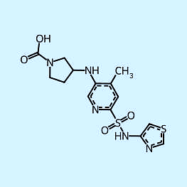 Cc1cc(S(=O)(=O)Nc2cscn2)ncc1NC1CCN(C(=O)O)C1